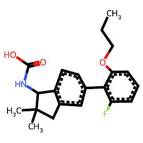 CCCOc1cccc(F)c1-c1ccc2c(c1)CC(C)(C)C2NC(=O)O